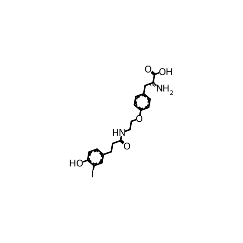 N[C@@H](Cc1ccc(OCCNC(=O)CCc2ccc(O)c(I)c2)cc1)C(=O)O